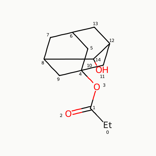 CCC(=O)OC12CC3CC(C1)C(O)C(C3)C2